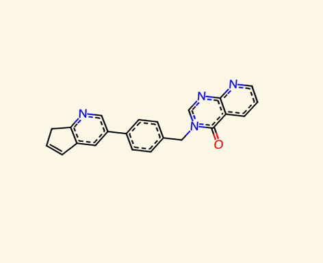 O=c1c2cccnc2ncn1Cc1ccc(-c2cnc3c(c2)C=CC3)cc1